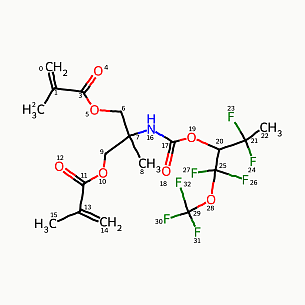 C=C(C)C(=O)OCC(C)(COC(=O)C(=C)C)NC(=O)OC(C(C)(F)F)C(F)(F)OC(F)(F)F